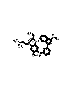 C=CC(=O)Nc1cc(Nc2nccc(-n3nc(NCC)c4ccccc43)n2)c(OC)cc1N(C)CCN(C)C